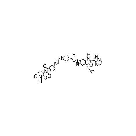 O=C1CCC(N2C(=O)c3ccc(N4CC(CN5CCC([C@H](F)Cn6cc7cc(NC(=O)c8cnn9cccnc89)c(OCC8CC8)cc7n6)CC5)C4)cc3C2=O)C(=O)N1